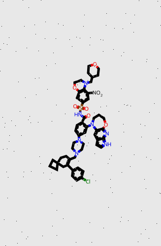 O=C(NS(=O)(=O)c1cc2c(c([N+](=O)[O-])c1)N(CC1CCOCC1)CCO2)c1ccc(N2CCN(CC3=C(c4ccc(Cl)cc4)CC4(CCC4)CC3)CC2)cc1N1CCCOc2nc3[nH]ccc3cc21